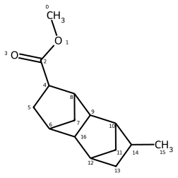 COC(=O)C1CC2CC1C1C3CC(CC3C)C21